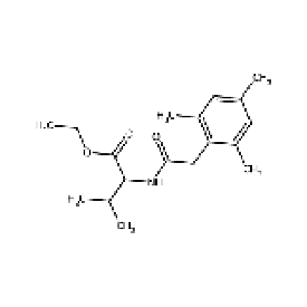 CCOC(=O)C(NC(=O)Cc1c(C)cc(C)cc1C)C(C)C